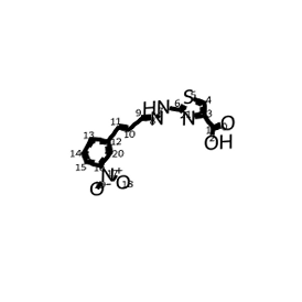 O=C(O)c1csc(NN=CC=Cc2cccc([N+](=O)[O-])c2)n1